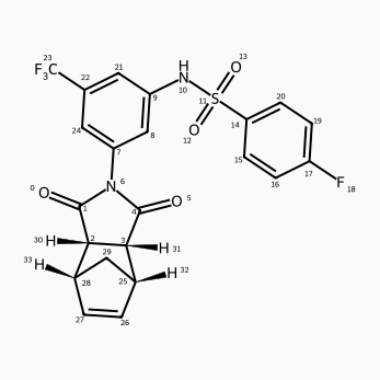 O=C1[C@@H]2[C@H](C(=O)N1c1cc(NS(=O)(=O)c3ccc(F)cc3)cc(C(F)(F)F)c1)[C@@H]1C=C[C@H]2C1